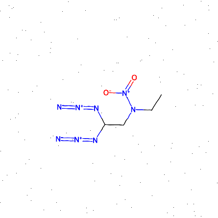 CCN(CC(N=[N+]=[N-])N=[N+]=[N-])[N+](=O)[O-]